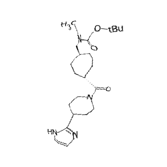 CN(C[C@H]1CC[C@H](C(=O)N2CCC(c3ncc[nH]3)CC2)CC1)C(=O)OC(C)(C)C